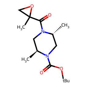 C[C@@H]1CN(C(=O)OC(C)(C)C)[C@@H](C)CN1C(=O)C1(C)CO1